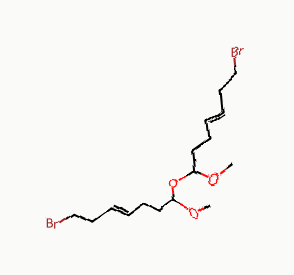 COC(CC/C=C/CCBr)OC(CC/C=C/CCBr)OC